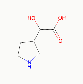 O=C(O)C(O)C1CCNC1